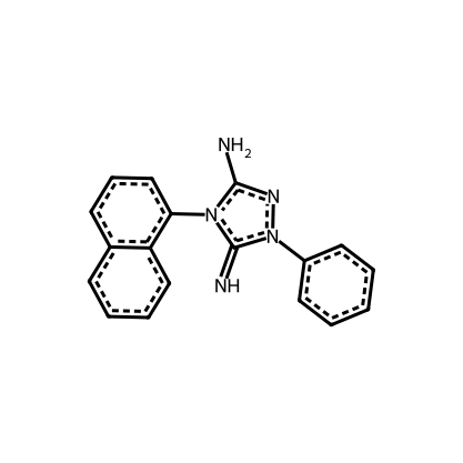 N=c1n(-c2ccccc2)nc(N)n1-c1cccc2ccccc12